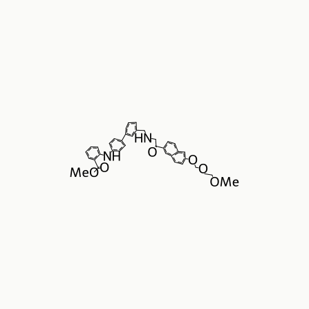 COCCOCOc1ccc2cc(C(=O)CNCc3cccc(-c4ccc(Nc5ccccc5C(=O)OC)cc4)c3)ccc2c1